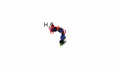 CCOc1cc(OC2CCN(C(=O)CCN3CCN(c4ccc(F)cc4F)CC3)CC2)ccc1[N+](=O)[O-]